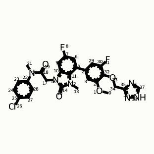 COc1cc(-c2cc(F)cc3c2n(C)c(=O)n3CC(=O)N(C)c2ccc(Cl)cc2)cc(F)c1OCc1nc[nH]n1